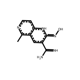 Cc1nccc2[nH]c(=NO)c(C(=N)N)cc12